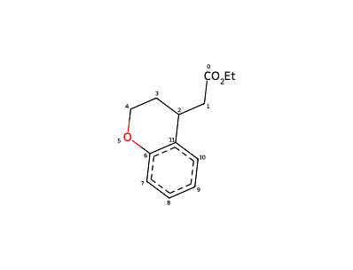 CCOC(=O)CC1CCOc2ccccc21